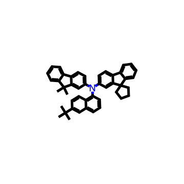 CC(C)(C)c1ccc2c(N(c3ccc4c(c3)C(C)(C)c3ccccc3-4)c3ccc4c(c3)C3(CCCC3)c3ccccc3-4)cccc2c1